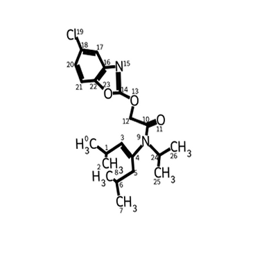 CC(C)C=C(CC(C)C)N(C(=O)COc1nc2cc(Cl)ccc2o1)C(C)C